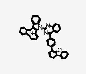 c1ccc2c(-c3ccc(-c4cccc5c4oc4ccccc45)cc3)nc(-n3c4ccccc4c4c3c3cccc5c6ccccc6c4n53)nc2c1